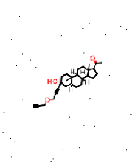 C#CCOCC#C[C@@]1(O)CC[C@@]2(C)[C@H](CC[C@@H]3[C@@H]2CC[C@]2(C)[C@@H](C(C)=O)CC[C@@H]32)C1